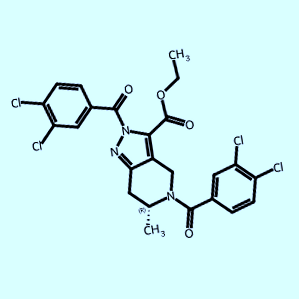 CCOC(=O)c1c2c(nn1C(=O)c1ccc(Cl)c(Cl)c1)C[C@@H](C)N(C(=O)c1ccc(Cl)c(Cl)c1)C2